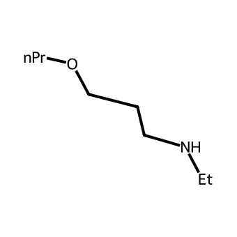 CCCOCCCNCC